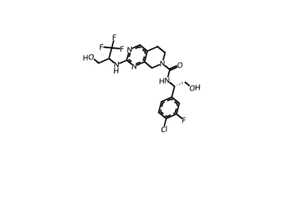 O=C(N[C@H](CO)c1ccc(Cl)c(F)c1)N1CCc2cnc(NC(CO)C(F)(F)F)nc2C1